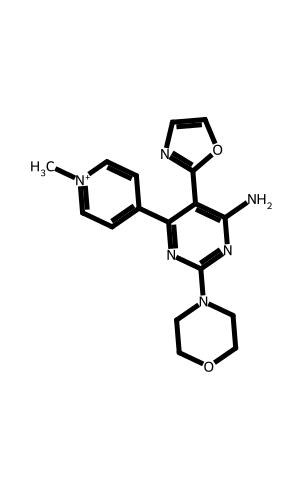 C[n+]1ccc(-c2nc(N3CCOCC3)nc(N)c2-c2ncco2)cc1